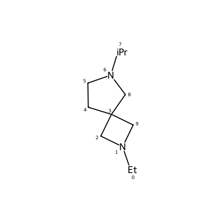 CCN1CC2(CCN(C(C)C)C2)C1